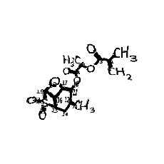 C=C(C)C(=O)OC(C)C(=O)OC1C(C)CC2C3C1OC3S2(=O)=O